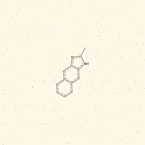 [CH2]c1nc2cc3ccccc3cc2[nH]1